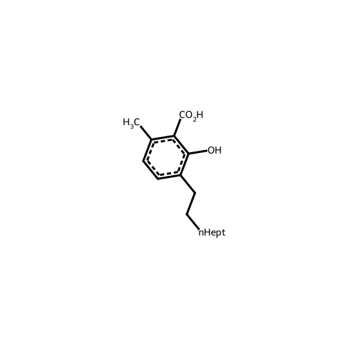 CCCCCCCCCc1ccc(C)c(C(=O)O)c1O